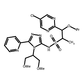 COCC(COC)n1c(NS(=O)(=O)C(C)C(OC(C)C)c2ncc(Cl)cn2)nnc1-c1ccccn1